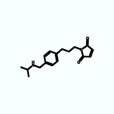 CC(C)NCc1ccc(CCCN2C(=O)C=CC2=O)cc1